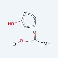 CCOCC(=O)OC.Oc1ccccc1